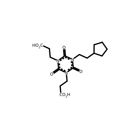 O=C(O)CCn1c(=O)n(CCC(=O)O)c(=O)n(CCC2CCCC2)c1=O